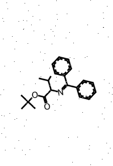 CC(C)C(N=C(c1ccccc1)c1ccccc1)C(=O)OC(C)(C)C